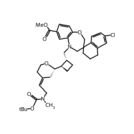 COC(=O)c1ccc2c(c1)N(C[C@@H]1CC[C@H]1[C@@H]1C/C(=C\CN(C)C(=O)OC(C)(C)C)CCO1)CC1(CCCc3cc(Cl)ccc31)CO2